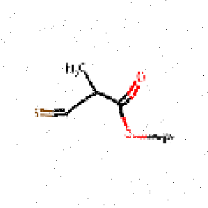 CC(C)OC(=O)C(C)[C]=S